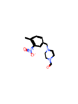 Cc1ccc(CN2CCN(C=O)CC2)cc1[N+](=O)[O-]